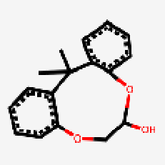 CC1(C)c2ccccc2OCC(O)Oc2ccccc21